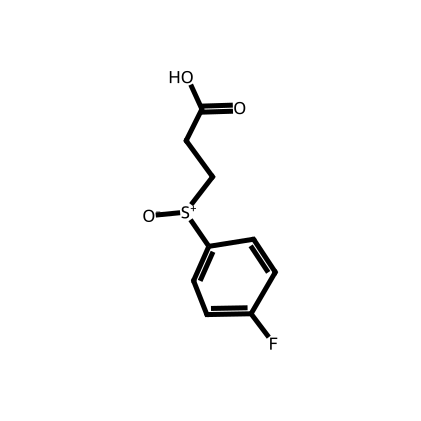 O=C(O)CC[S+]([O-])c1ccc(F)cc1